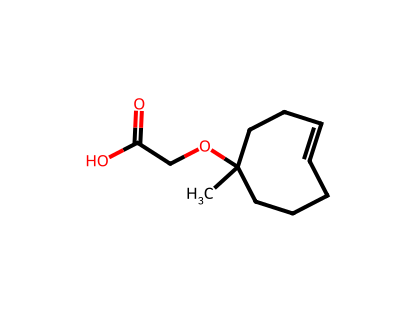 CC1(OCC(=O)O)CC/C=C/CCC1